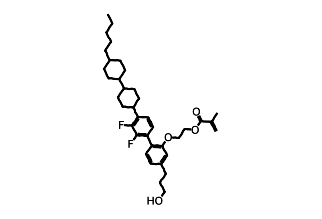 C=C(C)C(=O)OCCOc1cc(CCCO)ccc1-c1ccc(C2CCC(C3CCC(CCCCC)CC3)CC2)c(F)c1F